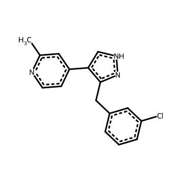 Cc1cc(-c2c[nH]nc2Cc2cccc(Cl)c2)ccn1